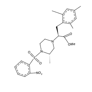 COC(=O)[C@H](Cc1c(C)cc(C)cc1C)N1CCN(S(=O)(=O)c2ccccc2[N+](=O)[O-])[C@@H](C)C1